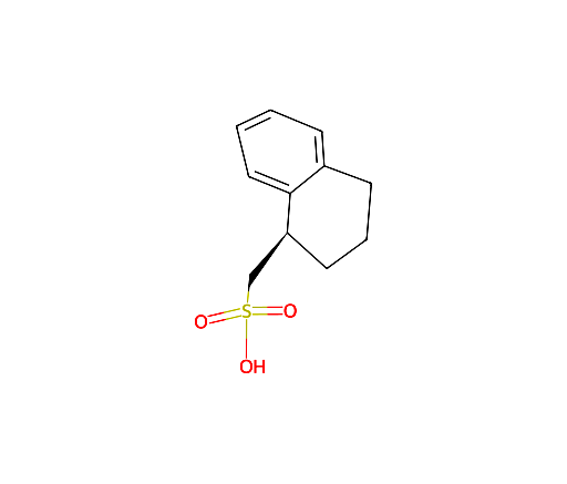 O=S(=O)(O)C[C@@H]1CCCc2ccccc21